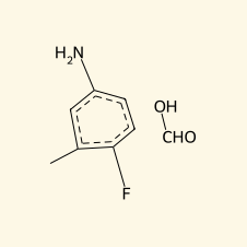 Cc1cc(N)ccc1F.O=CO